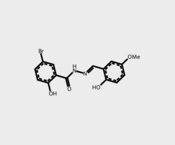 COc1ccc(O)c(/C=N/NC(=O)c2cc(Br)ccc2O)c1